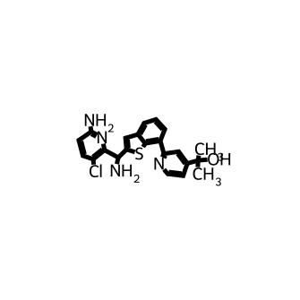 CC(C)(O)c1ccnc(-c2cccc3cc(C(N)c4nc(N)ccc4Cl)sc23)c1